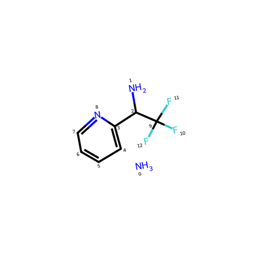 N.NC(c1ccccn1)C(F)(F)F